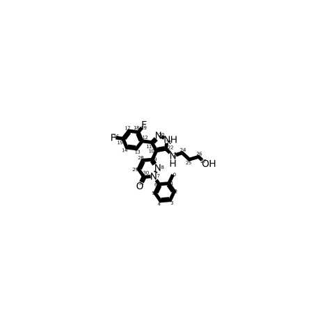 Cc1ccccc1-n1nc(-c2c(-c3ccc(F)cc3F)n[nH]c2NCCCO)ccc1=O